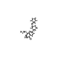 NCc1n[nH]c(=O)c2ccc(-c3cncc(Sc4ccccc4)c3)cc12